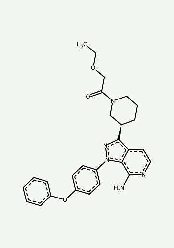 CCOCC(=O)N1CCC[C@@H](c2nn(-c3ccc(Oc4ccccc4)cc3)c3c(N)nccc23)C1